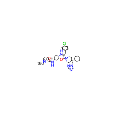 CC(C)(C)N(CC(=O)N[C@H]1CC[C@@H](N[C@H](Cc2ccc(Cl)cc2)C(=O)N2CCC(Cn3cncn3)(C3CCCCC3)CC2)CC1)C(=O)O